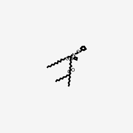 CCCCCCCCCCCCOCC(CN(CCOCc1ccccc1)C1CCC1)OCCCCCC(=O)OCC(CCCCCC)CCCCCCCC